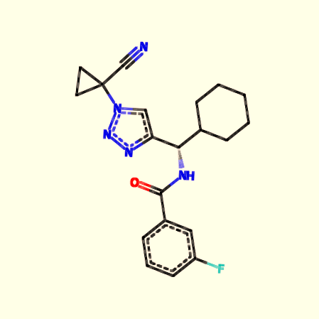 N#CC1(n2cc([C@@H](NC(=O)c3cccc(F)c3)C3CCCCC3)nn2)CC1